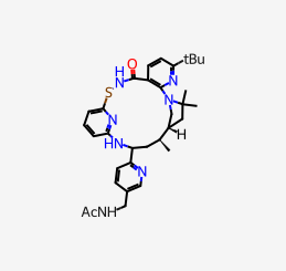 CC(=O)NCc1ccc(C2C[C@H](C)[C@@H]3CN(c4nc(C(C)(C)C)ccc4C(=O)NSc4cccc(n4)N2)C(C)(C)C3)nc1